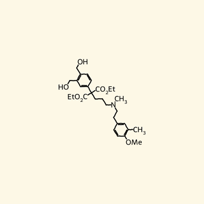 CCOC(=O)C(CCCN(C)CCc1ccc(OC)c(C)c1)(C(=O)OCC)c1ccc(CO)c(CO)c1